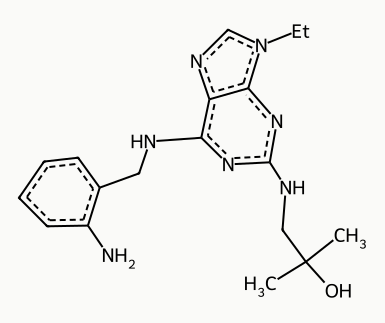 CCn1cnc2c(NCc3ccccc3N)nc(NCC(C)(C)O)nc21